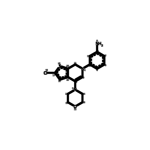 Nc1cccc(N2C=C(N3CCOCC3)c3cc(Cl)sc3C2)c1